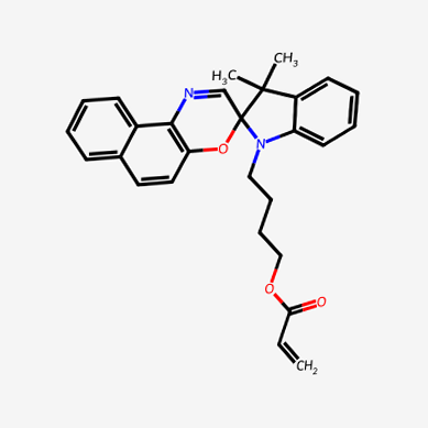 C=CC(=O)OCCCCN1c2ccccc2C(C)(C)C12C=Nc1c(ccc3ccccc13)O2